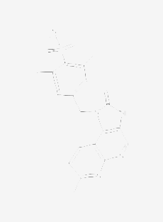 Cc1ccc2c(ncc3[nH]c(=O)n(Cc4cc(F)c(S(N)(=O)=O)c(F)c4)c32)n1